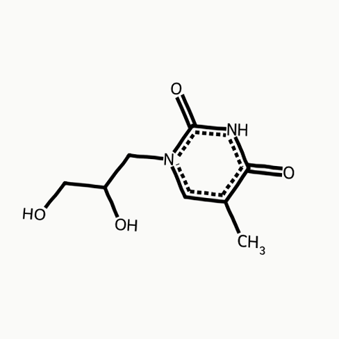 Cc1cn(CC(O)CO)c(=O)[nH]c1=O